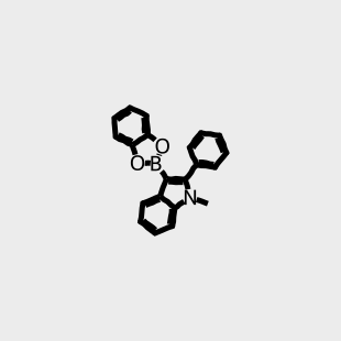 Cn1c(-c2ccccc2)c(B2Oc3ccccc3O2)c2ccccc21